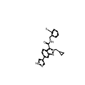 O=C(NCc1ccccc1F)c1c2ccc(-c3cn[nH]c3)cc2nn1CC1CC1